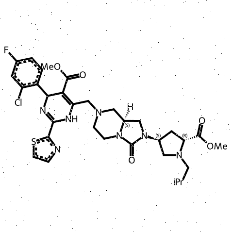 COC(=O)C1=C(CN2CCN3C(=O)N([C@H]4C[C@H](C(=O)OC)N(CC(C)C)C4)C[C@@H]3C2)NC(c2nccs2)=NC1c1ccc(F)cc1Cl